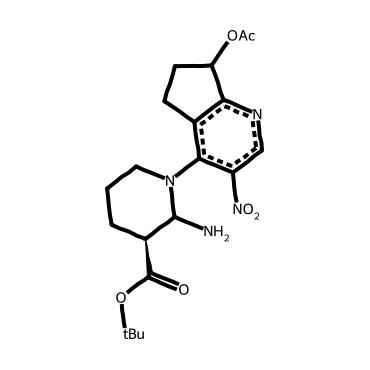 CC(=O)OC1CCc2c1ncc([N+](=O)[O-])c2N1CCC[C@H](C(=O)OC(C)(C)C)C1N